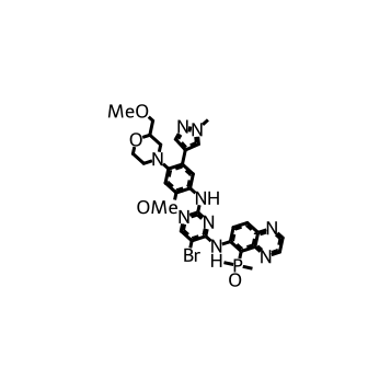 COCC1CN(c2cc(OC)c(Nc3ncc(Br)c(Nc4ccc5nccnc5c4P(C)(C)=O)n3)cc2-c2cnn(C)c2)CCO1